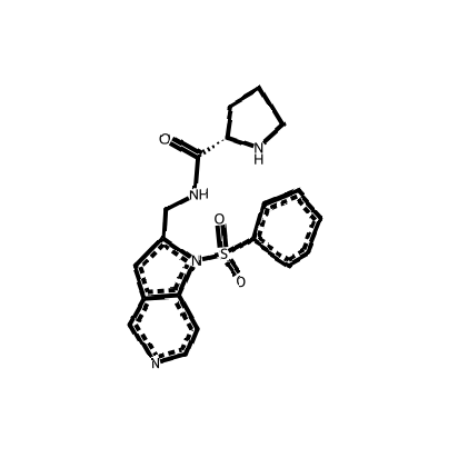 O=C(NCc1cc2cnccc2n1S(=O)(=O)c1ccccc1)[C@@H]1CCCN1